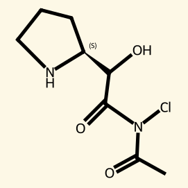 CC(=O)N(Cl)C(=O)C(O)[C@@H]1CCCN1